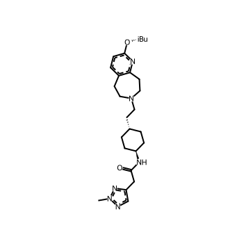 CC[C@@H](C)Oc1ccc2c(n1)CCN(CC[C@H]1CC[C@H](NC(=O)Cc3cnn(C)n3)CC1)CC2